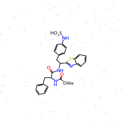 COC(=O)NC(Cc1ccccc1)C(=O)NC(Cc1ccc(NS(=O)(=O)O)cc1)c1nc2ccccc2s1